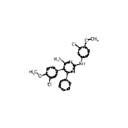 COc1ccc(Nc2nc(N)c(-c3ccc(OC)c(Cl)c3)c(-c3ccccc3)n2)cc1Cl